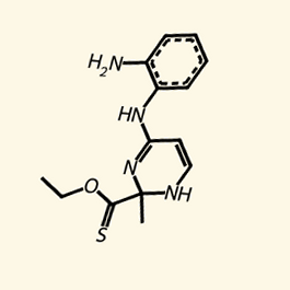 CCOC(=S)C1(C)N=C(Nc2ccccc2N)C=CN1